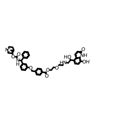 O=C(NC(c1ccccc1)c1cccc(OCc2ccc(C(=O)OCCOCCNCC(O)c3ccc(O)c4[nH]c(=O)ccc34)cc2)c1)OC1CN2CCC1CC2